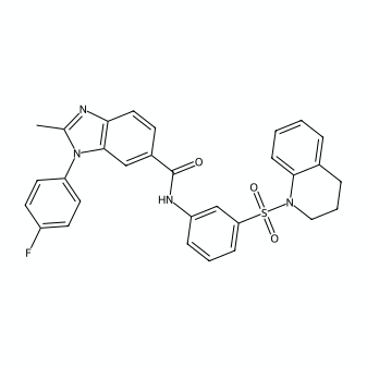 Cc1nc2ccc(C(=O)Nc3cccc(S(=O)(=O)N4CCCc5ccccc54)c3)cc2n1-c1ccc(F)cc1